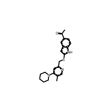 CC(=O)c1ccc2[nH]c(SCc3cc(N4CCCCC4)c(C)cn3)cc2c1